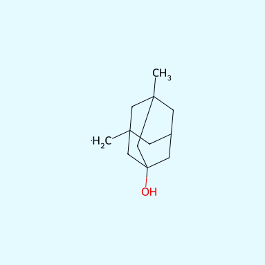 [CH2]C12CC3CC(C)(C1)CC(O)(C3)C2